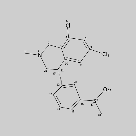 CN1Cc2c(Cl)cc(Cl)cc2[C@H](c2cccc([S+](C)[O-])c2)C1